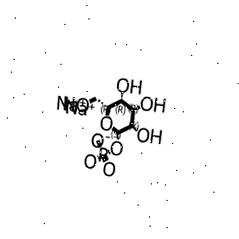 O=P([O-])([O-])O[C@@H]1O[C@H](CO)[C@H](O)[C@@H](O)[C@H]1O.[Na+].[Na+]